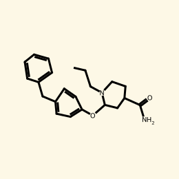 CCCN1CCC(C(N)=O)CC1Oc1ccc(Cc2ccccc2)cc1